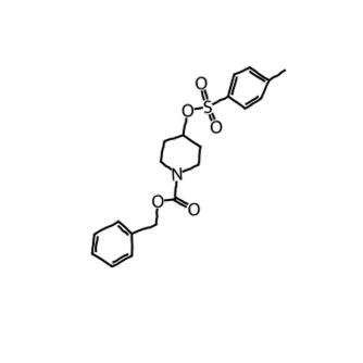 Cc1ccc(S(=O)(=O)OC2CCN(C(=O)OCc3ccccc3)CC2)cc1